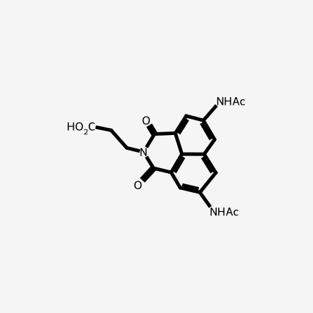 CC(=O)Nc1cc2c3c(cc(NC(C)=O)cc3c1)C(=O)N(CCC(=O)O)C2=O